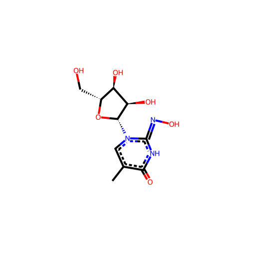 Cc1cn([C@@H]2O[C@H](CO)[C@@H](O)[C@H]2O)/c(=N/O)[nH]c1=O